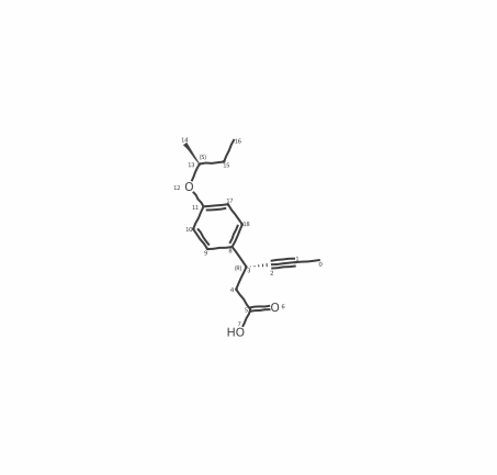 CC#C[C@H](CC(=O)O)c1ccc(O[C@@H](C)CC)cc1